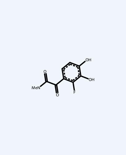 CNC(=O)C(=O)c1ccc(O)c(O)c1F